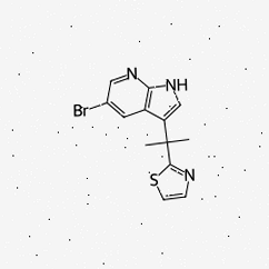 CC(C)(c1nccs1)c1c[nH]c2ncc(Br)cc12